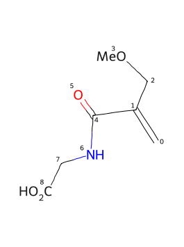 C=C(COC)C(=O)NCC(=O)O